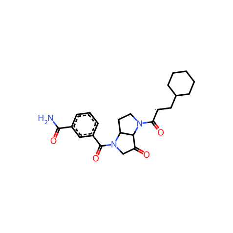 NC(=O)c1cccc(C(=O)N2CC(=O)C3C2CCN3C(=O)[CH]CC2CCCCC2)c1